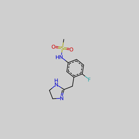 CS(=O)(=O)Nc1ccc(F)c(CC2=NCCN2)c1